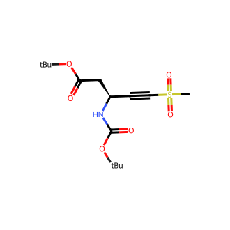 CC(C)(C)OC(=O)C[C@@H](C#CS(C)(=O)=O)NC(=O)OC(C)(C)C